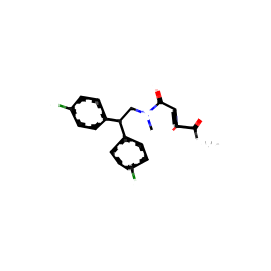 COC(=O)/C(O)=C/C(=O)N(C)CC(c1ccc(Cl)cc1)c1ccc(Cl)cc1